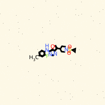 Cc1ccc(Nc2ncnc3c(C4CCN(S(=O)(=O)C5CC5)CC4)coc23)c(F)c1